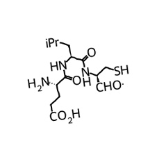 CC(C)C[C@H](NC(=O)[C@@H](N)CCC(=O)O)C(=O)N[C@H]([C]=O)CS